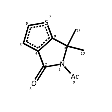 CC(=O)N1C(=O)c2ccsc2C1(C)C